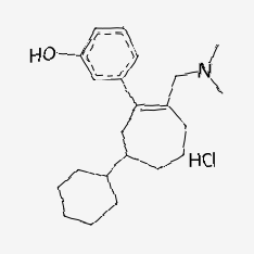 CN(C)CC1=C(c2cccc(O)c2)CC(C2CCCCC2)CCC1.Cl